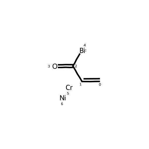 C=C[C](=O)[Bi].[Cr].[Ni]